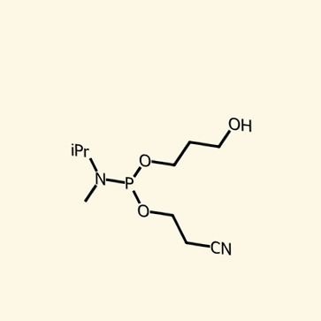 CC(C)N(C)P(OCCC#N)OCCCO